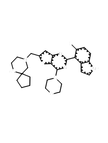 Fc1ccc2[nH]ccc2c1-c1nc(N2CCOCC2)c2sc(CN3CCNC4(CCCC4)C3)cc2n1